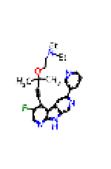 CCN(CC)CCOC(C)(C)C#Cc1c(F)cnc2[nH]c3cnc(-c4cccnc4)cc3c12